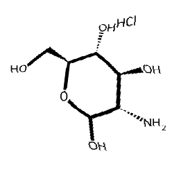 Cl.N[C@@H]1C(O)O[C@@H](CO)[C@H](O)[C@H]1O